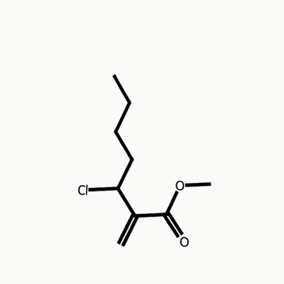 C=C(C(=O)OC)C(Cl)CCCC